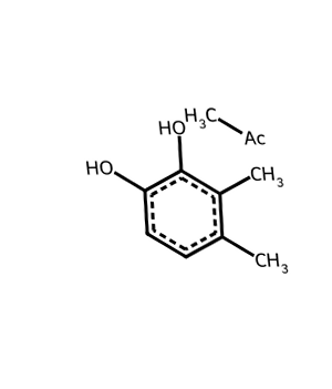 CC(C)=O.Cc1ccc(O)c(O)c1C